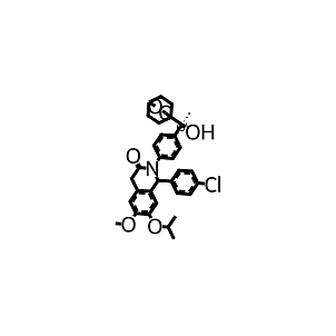 COc1cc2c(cc1OC(C)C)C(c1ccc(Cl)cc1)N(c1ccc([C@](C)(O)C34CCC(CC3)OC4)cc1)C(=O)C2